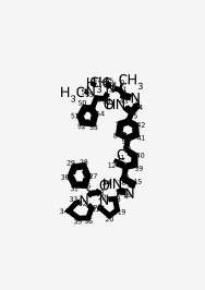 C[C@@H](c1ncc(-c2ccc(-c3ccc(-c4cnc([C@@H]5CCCN5C(=O)[C@@H](c5ccccc5)N5CCCCC5)[nH]4)cc3)cc2)[nH]1)N(C)C(=O)[C@@H](c1ccccc1)N(C)C